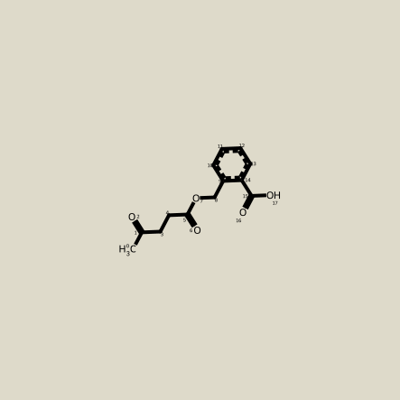 CC(=O)CCC(=O)OCc1ccccc1C(=O)O